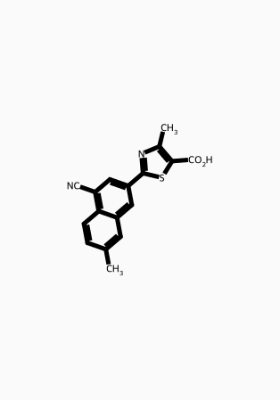 Cc1ccc2c(C#N)cc(-c3nc(C)c(C(=O)O)s3)cc2c1